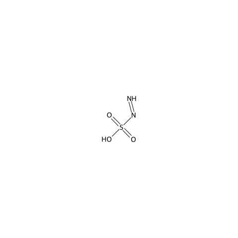 N=NS(=O)(=O)O